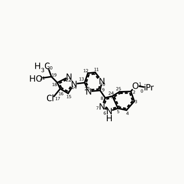 CC(C)Oc1ccc2[nH]nc(-c3nccc(-n4cc(Cl)c(C(C)O)n4)n3)c2c1